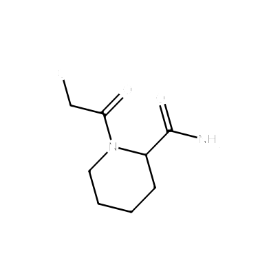 NC(=O)C1CCCCN1C(=O)CCl